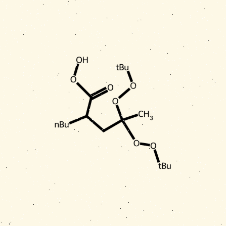 CCCCC(CC(C)(OOC(C)(C)C)OOC(C)(C)C)C(=O)OO